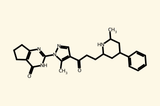 Cc1c(C(=O)CCC2CC(c3ccccc3)CC(C)N2)cnn1-c1nc2c(c(=O)[nH]1)CCC2